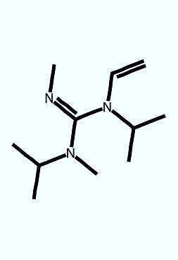 C=CN(/C(=N\C)N(C)C(C)C)C(C)C